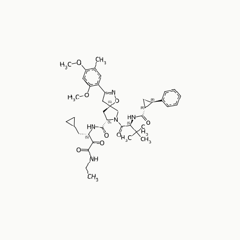 CCNC(=O)C(=O)[C@H](CC1CC1)NC(=O)[C@@H]1C[C@]2(CC(c3cc(C)c(OC)cc3OC)=NO2)CN1C(=O)[C@@H](NC(=O)[C@@H]1C[C@H]1c1ccccc1)C(C)(C)C